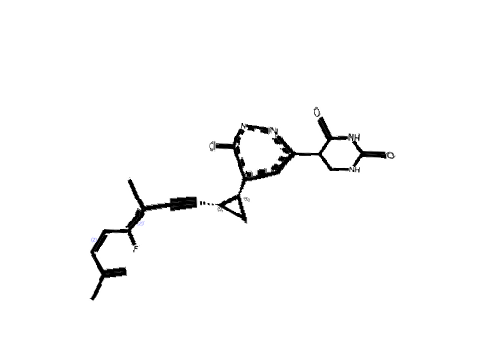 C=C(C)/C=C\C(F)=C(/C)C#C[C@H]1C[C@@H]1c1cc(C2CNC(=O)NC2=O)nnc1Cl